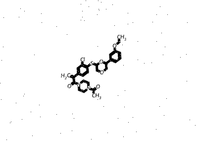 C=C(C(=O)N1CCN(C(C)=O)CC1)c1ccc(SC2COCC(c3cccc(OCC)c3)O2)c(Cl)c1